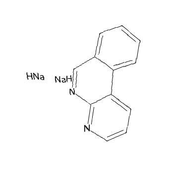 [NaH].[NaH].c1ccc2c(c1)cnc1ncccc12